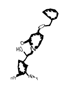 CCCc1ccc(C(O)Cn2ccc(OCc3ccccc3)cc2=O)cc1CCC